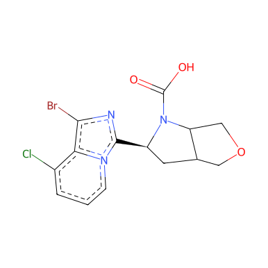 O=C(O)N1C2COCC2C[C@H]1c1nc(Br)c2c(Cl)cccn12